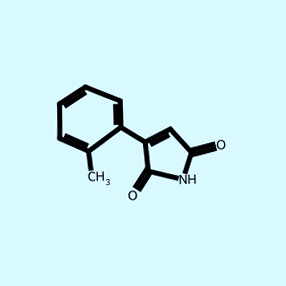 Cc1ccccc1C1=CC(=O)NC1=O